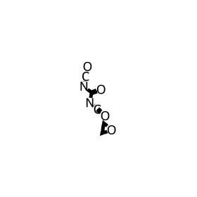 C1CO1.O=C=NC(=O)N=C=O